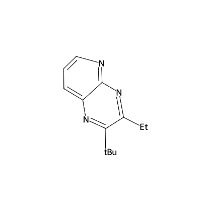 CCc1nc2ncccc2nc1C(C)(C)C